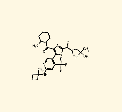 CC1CCCCN1C(=O)c1nc(C(=O)NCC(C)(C)O)sc1-c1cnc(NC2(C)CCC2)cc1C(F)(F)F